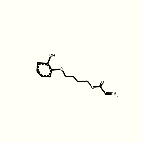 C=CC(=O)OCCCCOc1ccccc1O